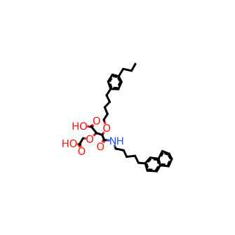 CCCc1ccc(CCCCCOC(C(=O)NCCCCCc2ccc3ccccc3c2)C(OCC(=O)O)C(=O)O)cc1